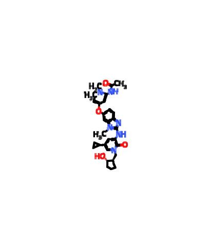 C=N/C(=C\C(=C/C)Oc1ccc2nc(Nc3cc(C4CC4)cn(C[C@H]4CCC[C@@H]4O)c3=O)n(C)c2c1)NC(C)=O